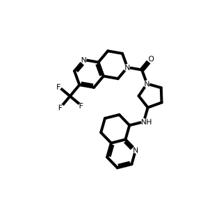 O=C(N1CCc2ncc(C(F)(F)F)cc2C1)N1CCC(NC2CCCc3cccnc32)C1